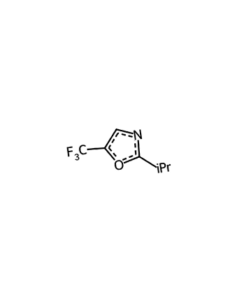 CC(C)c1ncc(C(F)(F)F)o1